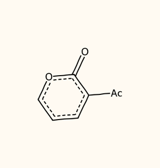 CC(=O)c1cccoc1=O